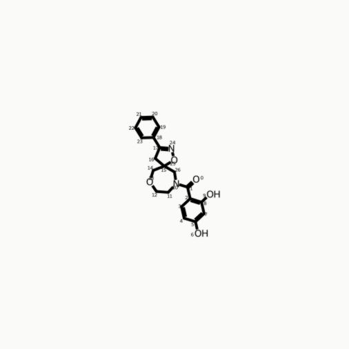 O=C(c1ccc(O)cc1O)N1CCOCC2(CC(c3ccccc3)=NO2)C1